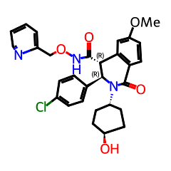 COc1ccc2c(c1)[C@@H](C(=O)NOCc1ccccn1)[C@H](c1ccc(Cl)cc1)N([C@H]1CC[C@H](O)CC1)C2=O